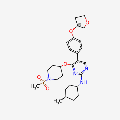 CS(=O)(=O)N1CCC(Oc2nc(N[C@H]3CC[C@H](C)CC3)ncc2-c2ccc(O[C@H]3CCOC3)cc2)CC1